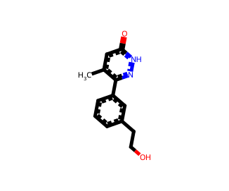 Cc1cc(=O)[nH]nc1-c1cccc(CCO)c1